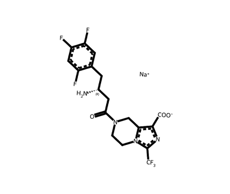 N[C@@H](CC(=O)N1CCn2c(C(F)(F)F)nc(C(=O)[O-])c2C1)Cc1cc(F)c(F)cc1F.[Na+]